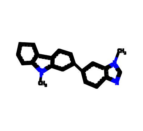 Cn1cnc2ccc(-c3ccc4c5ccccc5n(C)c4c3)cc21